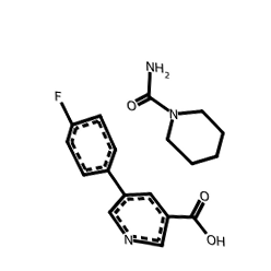 NC(=O)N1CCCCC1.O=C(O)c1cncc(-c2ccc(F)cc2)c1